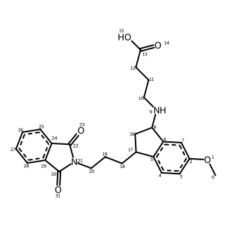 COc1ccc2c(c1)C(NCCCC(=O)O)CC2CCCN1C(=O)c2ccccc2C1=O